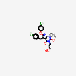 Cn1c2c(c(=O)n(CCCO)c1=O)C(Cc1ccc(F)cc1)C(Oc1ccc(Cl)cc1)=N2